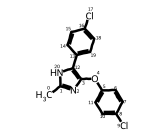 Cc1nc(Oc2ccc(Cl)cc2)c(-c2ccc(Cl)cc2)[nH]1